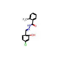 O=C(N/N=C/c1ccc(Cl)cc1O)c1ccccc1C(F)(F)F